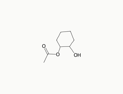 CC(=O)OC1CCCCC1O